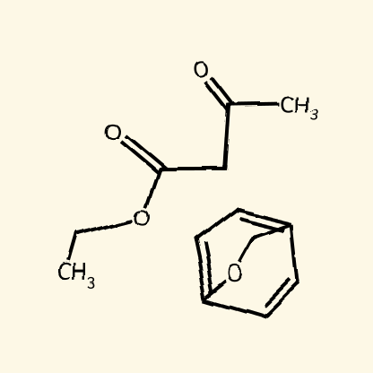 CCOC(=O)CC(C)=O.c1cc2ccc1CO2